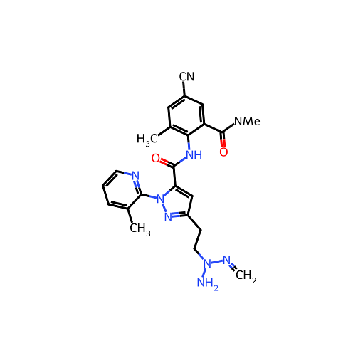 C=NN(N)CCc1cc(C(=O)Nc2c(C)cc(C#N)cc2C(=O)NC)n(-c2ncccc2C)n1